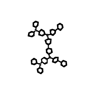 C1=CC(N(c2ccccc2)c2ccccc2)CC=C1N(c1ccc(-c2ccccc2)cc1)c1ccc(-c2ccc(N(c3ccc(-c4ccccc4)cc3)c3ccc(N(c4ccccc4)c4ccccc4)cc3)cc2)cc1